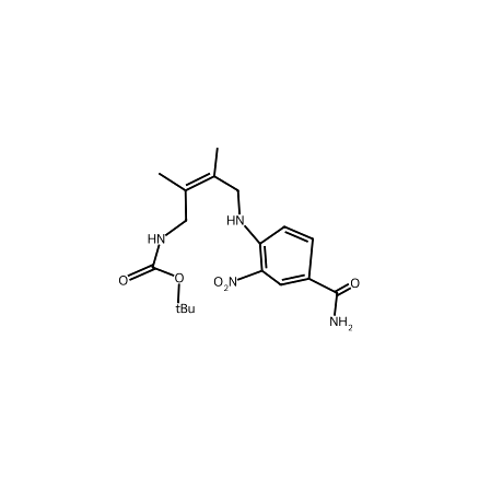 CC(CNC(=O)OC(C)(C)C)=C(C)CNc1ccc(C(N)=O)cc1[N+](=O)[O-]